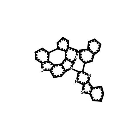 c1ccc2cc(-c3nc4c(nc3-n3c5ccc6cccc7c6c5c5c6c(ccc53)oc3cccc-7c36)sc3ccccc34)ccc2c1